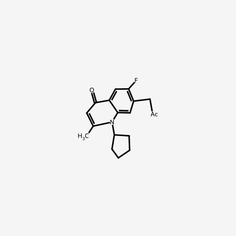 CC(=O)Cc1cc2c(cc1F)c(=O)cc(C)n2C1CCCC1